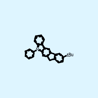 CC(C)(C)c1ccc2c(c1)-c1cc3c4ccccc4n(-c4ccccc4)c3cc1C2